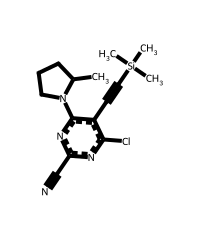 CC1CCCN1c1nc(C#N)nc(Cl)c1C#C[Si](C)(C)C